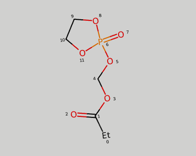 CCC(=O)OCOP1(=O)OCCO1